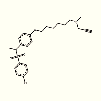 C#CCN(C)CCCCCCOc1ccc(N(C)S(=O)(=O)c2ccc(Cl)cc2)cc1